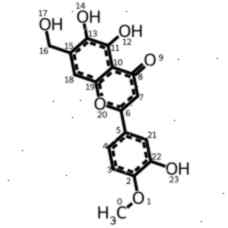 COc1ccc(-c2cc(=O)c3c(O)c(O)c(CO)cc3o2)cc1O